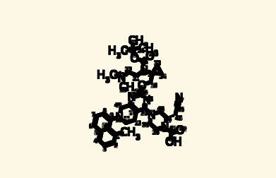 Cc1cccc2cccc(N3CCc4c(nc(OCC5(N(CCN(C)C)C(=O)OC(C)(C)C)CC5)nc4N4CCN(C(=O)O)[C@@H](CC#N)C4)C3)c12